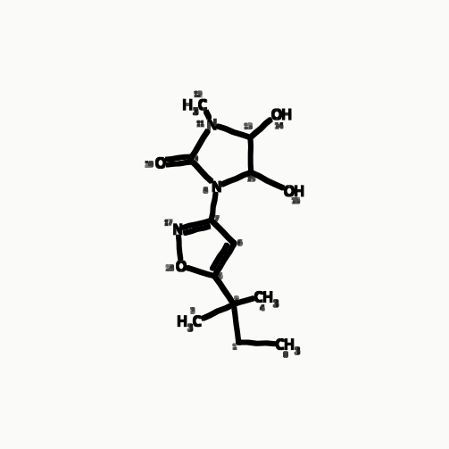 CCC(C)(C)c1cc(N2C(=O)N(C)C(O)C2O)no1